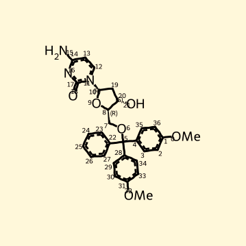 COc1ccc(C(OC[C@H]2O[C@@H](n3ccc(N)nc3=O)C[C@@H]2O)(c2ccccc2)c2ccc(OC)cc2)cc1